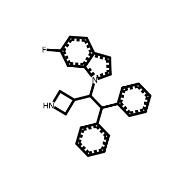 Fc1ccc2ccn(C(C3CNC3)C(c3ccccc3)c3ccccc3)c2c1